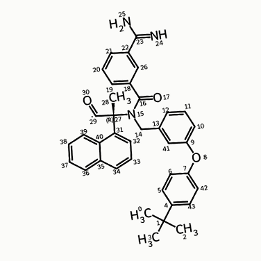 CC(C)(C)c1ccc(Oc2cccc(CN(C(=O)c3cccc(C(=N)N)c3)[C@@](C)([C]=O)c3cccc4ccccc34)c2)cc1